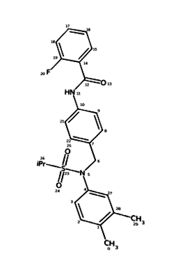 Cc1ccc(N(Cc2ccc(NC(=O)c3ccccc3F)cc2)S(=O)(=O)C(C)C)cc1C